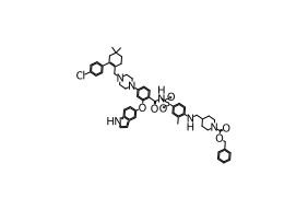 Cc1cc(S(=O)(=O)NC(=O)c2ccc(N3CCN(CC4=C(c5ccc(Cl)cc5)CC(C)(C)CC4)CC3)cc2Oc2ccc3[nH]ccc3c2)ccc1NCC1CCN(C(=O)OCc2ccccc2)CC1